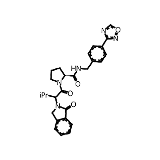 CC(C)C(C(=O)N1CCC[C@H]1C(=O)NCc1ccc(-c2ncon2)cc1)N1Cc2ccccc2C1=O